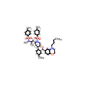 COCCCN1CCOc2ccc(CO[C@H]3CN(S(=O)(=O)c4ccc(C)cc4)[C@H](C[C@H](C)N(C#N)S(=O)(=O)c4ccc(C)cc4)C[C@@H]3c3ccc(OC)cc3)cc21